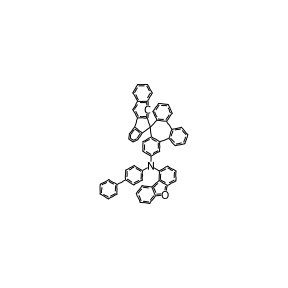 c1ccc(-c2ccc(N(c3ccc4c(c3)-c3ccccc3-c3ccccc3C43c4ccccc4-c4cc5ccccc5cc43)c3cccc4oc5ccccc5c34)cc2)cc1